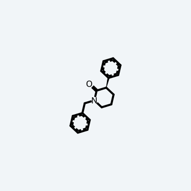 O=C1[C@@H](c2ccccc2)CCCN1Cc1ccccc1